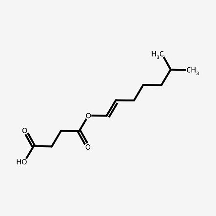 CC(C)CCCC=COC(=O)CCC(=O)O